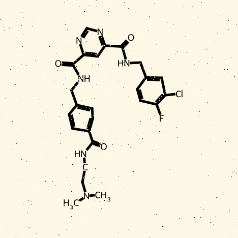 CN(C)CCNC(=O)c1ccc(CNC(=O)c2cc(C(=O)NCc3ccc(F)c(Cl)c3)ncn2)cc1